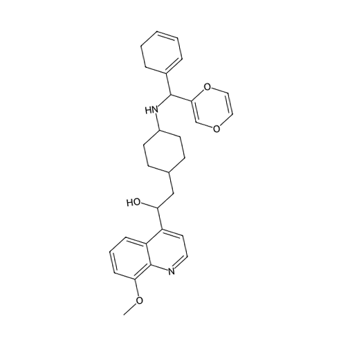 COc1cccc2c(C(O)CC3CCC(NC(C4=CC=CCC4)C4=COC=CO4)CC3)ccnc12